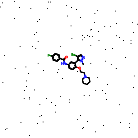 Cn1ncc(Br)c1-c1cc(NC(=O)c2ccc(F)cc2)ccc1OCCN1CCCCC1